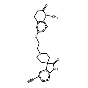 CN1C(=O)CCc2cc(OCCN3CCC4(CC3)C(=O)Nc3ccc(C#N)cc34)ccc21